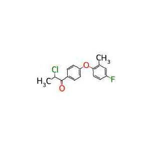 Cc1cc(F)ccc1Oc1ccc(C(=O)C(C)Cl)cc1